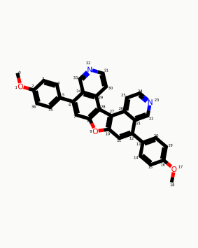 COc1ccc(-c2cc3oc4cc(-c5ccc(OC)cc5)c5cnccc5c4c3c3ccncc23)cc1